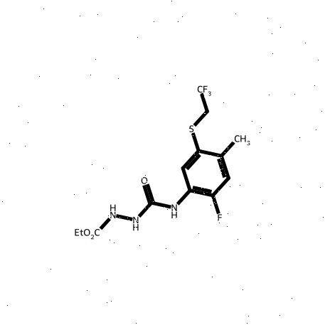 CCOC(=O)NNC(=O)Nc1cc(SCC(F)(F)F)c(C)cc1F